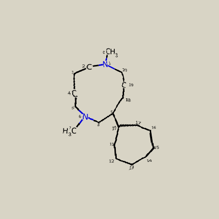 CN1CCCCN(C)CC(C2CCCCCCC2)CCC1